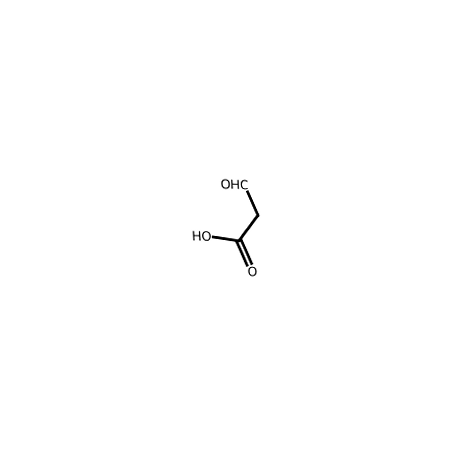 O=CCC(=O)O